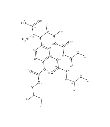 CCC(C)COC(=O)Oc1ccc(C(C(C)C(C)OC(=O)CC(C)CC)[C@H](N)C(=O)O)cc1OC(=O)OCC(C)CC